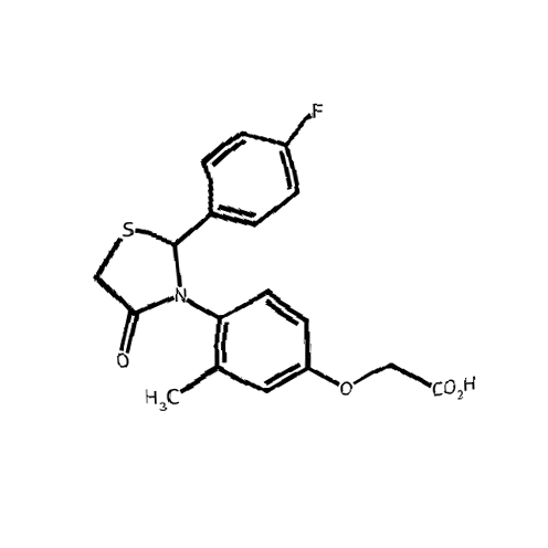 Cc1cc(OCC(=O)O)ccc1N1C(=O)CSC1c1ccc(F)cc1